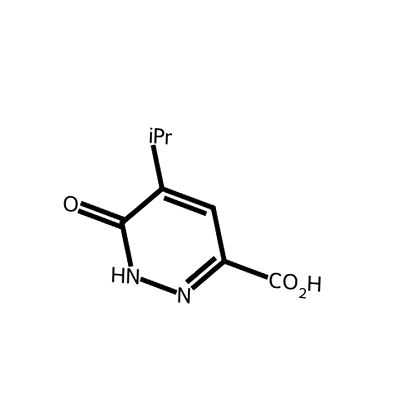 CC(C)c1cc(C(=O)O)n[nH]c1=O